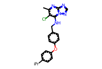 Cc1nc2ncnn2c(NCc2ccc(Oc3ccc(C(C)C)cc3)cc2)c1Cl